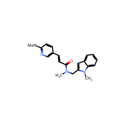 CNc1ccc(C=CC(=O)N(C)Cc2cc3ccccc3n2C)cn1